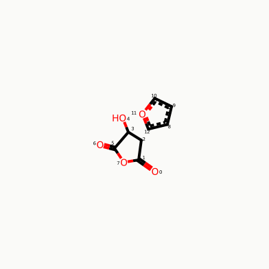 O=C1CC(O)C(=O)O1.c1ccoc1